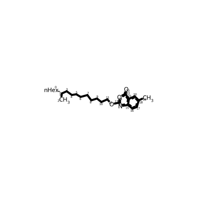 CCCCCC[C@@H](C)CCCCCCCCCOc1nc2ccc(C)cc2c(=O)o1